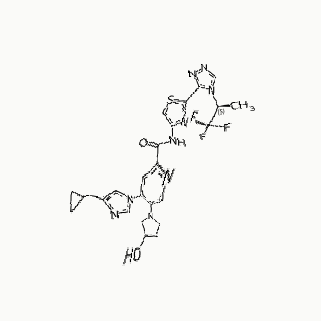 C[C@H](n1cnnc1-c1nc(NC(=O)c2cc(-n3cnc(C4CC4)c3)c(N3CCC(O)C3)cn2)cs1)C(F)(F)F